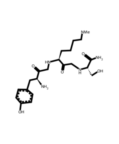 CNCCCC[C@H](NCC(=O)[C@@H](N)Cc1ccc(O)cc1)C(=O)CN[C@@H](CO)C(N)=O